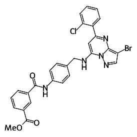 COC(=O)c1cccc(C(=O)Nc2ccc(CNc3cc(-c4ccccc4Cl)nc4c(Br)cnn34)cc2)c1